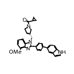 COc1cccc2c1nc(-c1ccc(-c3ccc4[nH]ccc4c3)cc1)n2C[C@@H]1CCN(C(=O)C2CC2)C1